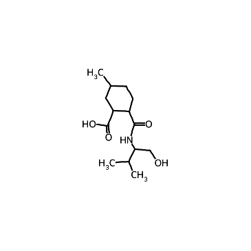 CC1CCC(C(=O)NC(CO)C(C)C)C(C(=O)O)C1